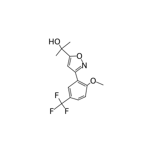 COc1ccc(C(F)(F)F)cc1-c1cc(C(C)(C)O)on1